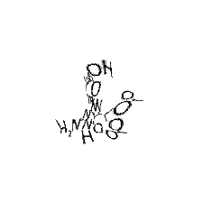 CC(=O)OCC(COC(C)=O)c1nn([C@H]2CC[C@@H](CO)O2)c2nc(N)[nH]c(=O)c12